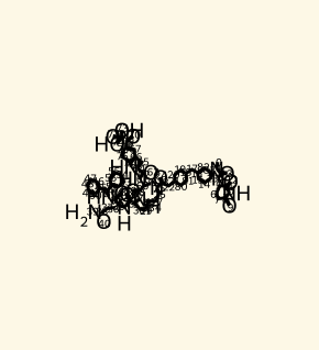 Cn1c(=O)n([C@@H]2CCC(=O)NC2=O)c2ccc(CC3CCC(CC(=O)N4CC[C@H]5CC[C@@H](C(=O)N[C@@H](CCC(N)=O)C(=O)NC(c6ccccc6)c6ccccc6)N5C(=O)[C@@H](NC(=O)c5cc6cc(C(=O)P(=O)(O)O)ccc6[nH]5)C4)CC3)cc21